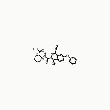 N#Cc1nc(C(=O)N[C@H]2CCCC[C@H]2C(=O)O)c(O)c2ccc(Oc3ccccc3)cc12